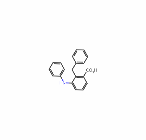 O=C(O)c1cccc(Nc2ccccc2)c1Cc1ccccc1